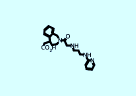 O=C(O)CC1CCN(C(=O)CNCCCNc2ccccn2)Cc2ccccc21